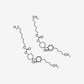 CCCCCCCCOC(=O)OC1CCC(O)(c2ccc(CCCCC)cc2)CC1.CCCCCCCOC(=O)OC1CCC(O)(c2ccc(CCCCC)cc2)CC1